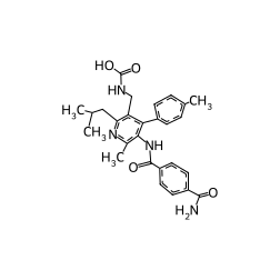 Cc1ccc(-c2c(CNC(=O)O)c(CC(C)C)nc(C)c2NC(=O)c2ccc(C(N)=O)cc2)cc1